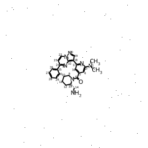 CN(C)c1cc(C(=O)N2CCCC[C@H]2CN)cc(-c2cnn3ccc(-c4ccccc4)nc23)n1